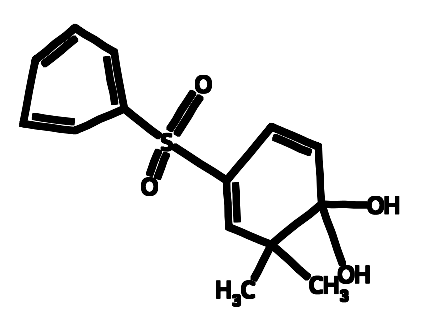 CC1(C)C=C(S(=O)(=O)c2ccccc2)C=CC1(O)O